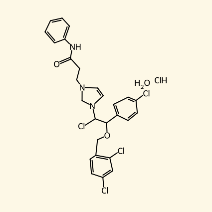 Cl.O.O=C(CCN1C=CN(C(Cl)C(OCc2ccc(Cl)cc2Cl)c2ccc(Cl)cc2)C1)Nc1ccccc1